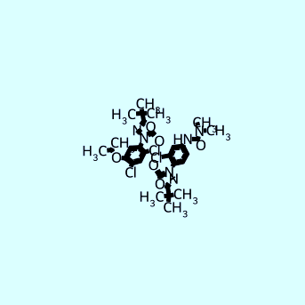 CC(C)Oc1cc(-n2nc(C(C)(C)C)oc2=O)c(Cl)cc1Cl.CN(C)C(=O)Nc1ccc(-n2nc(C(C)(C)C)oc2=O)c(Cl)c1